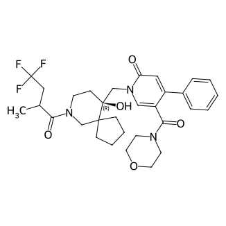 CC(CC(F)(F)F)C(=O)N1CC[C@](O)(Cn2cc(C(=O)N3CCOCC3)c(-c3ccccc3)cc2=O)C2(CCCC2)C1